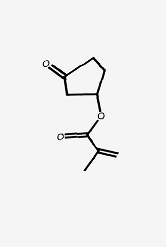 C=C(C)C(=O)OC1CCC(=O)C1